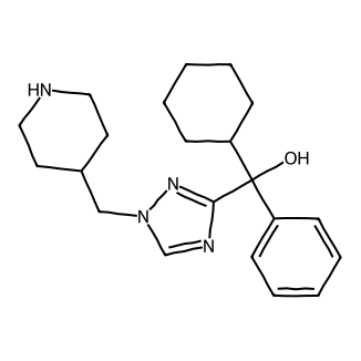 OC(c1ccccc1)(c1ncn(CC2CCNCC2)n1)C1CCCCC1